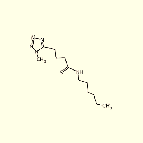 CCCCCCNC(=S)CCCc1nnnn1C